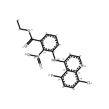 CCOC(=O)c1cccc(Nc2ccnc3c(Cl)ccc(F)c23)c1[N+](=O)[O-]